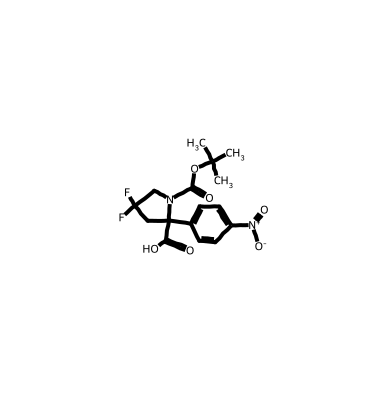 CC(C)(C)OC(=O)N1CC(F)(F)CC1(C(=O)O)c1ccc([N+](=O)[O-])cc1